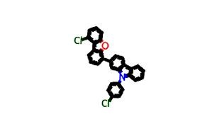 Clc1ccc(-n2c3ccccc3c3ccc(-c4cccc5c4oc4cccc(Cl)c45)cc32)cc1